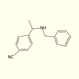 CC(NCc1ccccc1)c1ccc(C#N)cc1